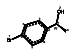 [CH2][C@H](O)c1ccc(Br)cc1